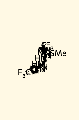 CSc1nc(NCc2nnc(-c3ccc(C(F)(F)F)cc3)[nH]2)c2ncc(C(F)(F)F)n2n1